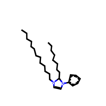 CCCCCCCCCCCCCN1C=CN(c2ccccc2)C1CCCCCCCC